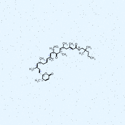 CSSC(C)(C)CNC(=O)/C=C(\C)C[C@H](C)[C@@H](O)[C@H](C)C(=O)[C@H](C)/C=C(C)/C=C/C[C@@H](C)/C=C(C)\C=C\[C@@H]1OC(=O)C=C[C@@H]1C